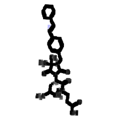 CC(C)C[C@@H](C(=O)NCCC(=O)O)N1C(=O)N(Cc2ccc(/C=C/c3ccccc3)cc2)C(C)(C)C1=O